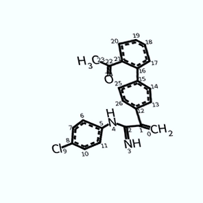 C=C(C(=N)Nc1ccc(Cl)cc1)c1ccc(-c2ccccc2C(C)=O)cc1